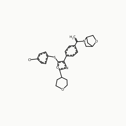 C=C(c1ccc(-c2nc(C3CCOCC3)oc2Sc2ccc(Cl)cc2)cc1)N1CC2CC1CO2